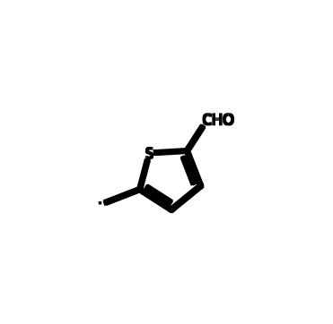 [CH2]c1ccc(C=O)s1